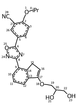 CC(C)Oc1ccc(-c2nc(-c3cccc4c3CC=C4OCC(O)CO)no2)cc1C#N